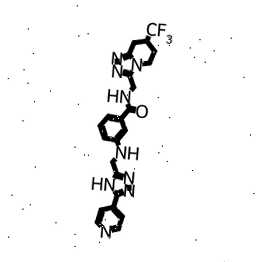 O=C(NCc1nnc2n1CCC(C(F)(F)F)C2)c1cccc(NCc2nnc(-c3ccncc3)[nH]2)c1